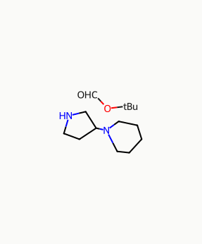 C1CCN(C2CCNC2)CC1.CC(C)(C)OC=O